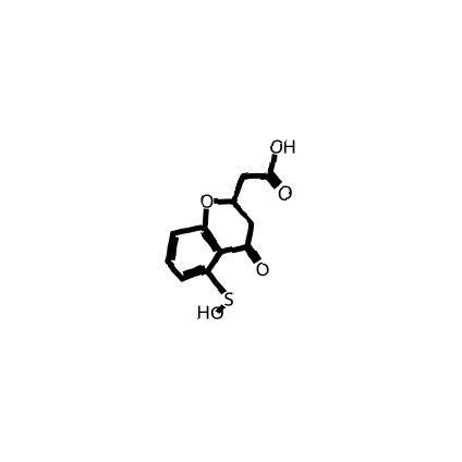 O=C(O)CC1CC(=O)c2c(cccc2SO)O1